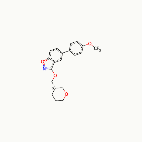 FC(F)(F)Oc1ccc(-c2ccc3onc(OC[C@H]4CCCOC4)c3c2)cc1